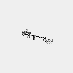 CCCCCCCCC(CCCCCCCC)OC(=O)CCCCCCCNCCOC(=O)c1cc(=O)[nH]c(=O)[nH]1